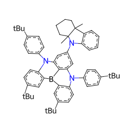 CC(C)(C)c1ccc(N2c3ccc(C(C)(C)C)cc3B3c4cc(C(C)(C)C)ccc4N(c4ccc(C(C)(C)C)cc4)c4cc(N5c6ccccc6C6(C)CCCCC56C)cc2c43)cc1